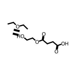 C=C.C=C.CCOCC.O=C(O)CCC(=O)OCCO